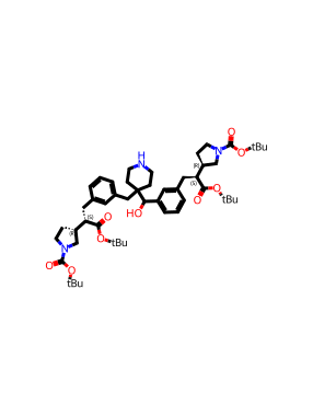 CC(C)(C)OC(=O)[C@@H](Cc1cccc(CC2(C(O)c3cccc(C[C@H](C(=O)OC(C)(C)C)[C@H]4CCN(C(=O)OC(C)(C)C)C4)c3)CCNCC2)c1)[C@H]1CCN(C(=O)OC(C)(C)C)C1